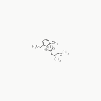 CCC1=CC=CC(C)(Cl)[C@H]1NC(=O)CC(C)COC